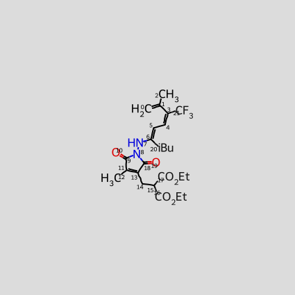 C=C(C)/C(=C\C=C(\NN1C(=O)C(C)=C(CC(C(=O)OCC)C(=O)OCC)C1=O)C(C)CC)C(F)(F)F